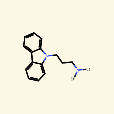 CCN(CC)CCCn1c2ccccc2c2ccccc21